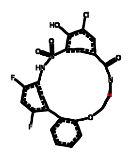 O=C1c2cc(Cl)c(O)c(c2)S(=O)(=O)Nc2cc(c(F)cc2F)-c2ccccc2OC2CN1C2